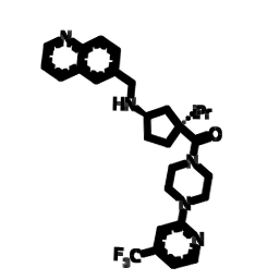 CC(C)[C@]1(C(=O)N2CCN(c3cc(C(F)(F)F)ccn3)CC2)CC[C@@H](NCc2ccc3ncccc3c2)C1